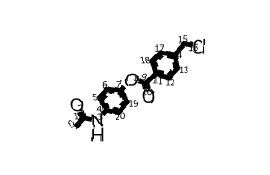 CC(=O)Nc1ccc(OC(=O)c2ccc(CCl)cc2)cc1